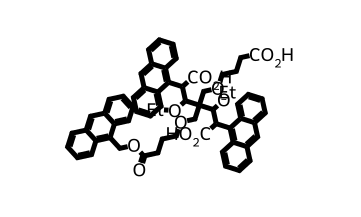 CCOC(C(C(=O)O)c1c2ccccc2cc2ccccc12)C(COCCCC(=O)O)(COCCCC(=O)OCc1c2ccccc2cc2ccccc12)C(OCC)C(C(=O)O)c1c2ccccc2cc2ccccc12